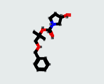 CC(C)(COCc1ccccc1)OC(=O)N1CCC(O)C1